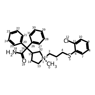 C[N@@+]1(CCCSc2ccccc2Cl)CCC(C(C(N)=O)(c2ccccc2)c2ccccc2)C1